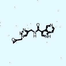 O=C(NCc1cn(CC2CO2)nn1)c1c[nH]c2ccncc12